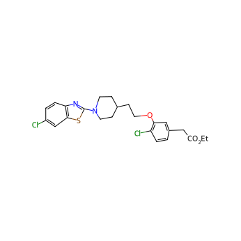 CCOC(=O)Cc1ccc(Cl)c(OCCC2CCN(c3nc4ccc(Cl)cc4s3)CC2)c1